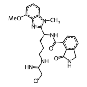 COc1cccc2c1nc([C@H](CCCNC(=N)CCl)NC(=O)c1cccc3c1C(=O)NC3)n2C